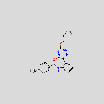 Bc1ccc(C2Nc3ccccc3-c3nnc(SCCC)nc3O2)cc1